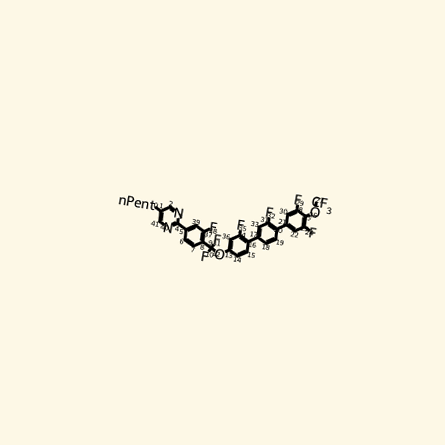 CCCCCc1cnc(-c2ccc(C(F)(F)Oc3ccc(-c4ccc(-c5cc(F)c(OC(F)(F)F)c(F)c5)c(F)c4)c(F)c3)c(F)c2)nc1